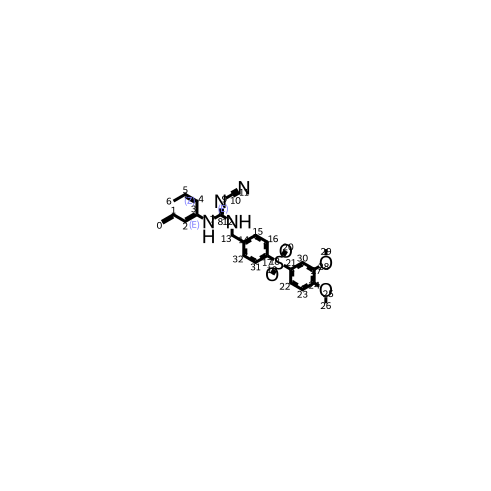 C=C/C=C(\C=C/C)N/C(=N/C#N)NCc1ccc(S(=O)(=O)c2ccc(OC)c(OC)c2)cc1